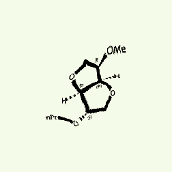 CCCO[C@H]1CO[C@H]2[C@@H]1OC[C@H]2OC